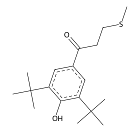 CSCCC(=O)c1cc(C(C)(C)C)c(O)c(C(C)(C)C)c1